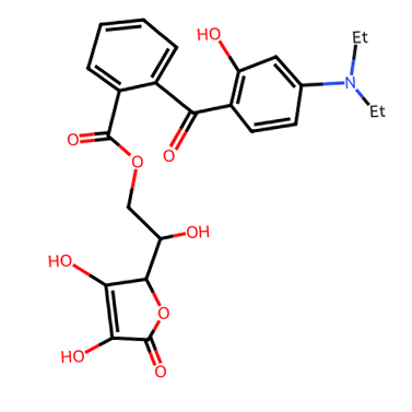 CCN(CC)c1ccc(C(=O)c2ccccc2C(=O)OCC(O)C2OC(=O)C(O)=C2O)c(O)c1